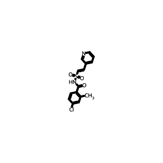 Cc1cc(Cl)ccc1C(=O)NS(=O)(=O)C=Cc1cccnc1